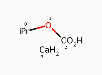 CC(C)OC(=O)O.[CaH2]